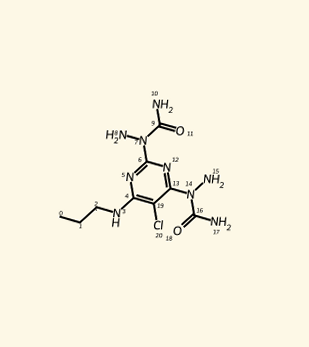 CC[CH]Nc1nc(N(N)C(N)=O)nc(N(N)C(N)=O)c1Cl